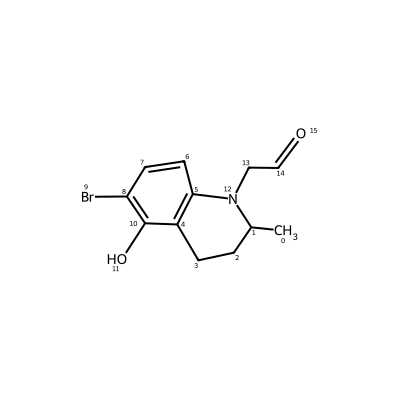 CC1CCc2c(ccc(Br)c2O)N1CC=O